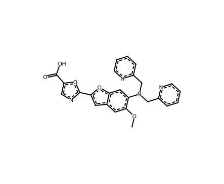 COc1cc2cc(-c3ncc(C(=O)O)o3)oc2cc1N(Cc1ccccn1)Cc1ccccn1